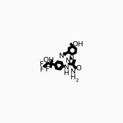 CC1(O)CCC(n2cc(C(N)=O)c(Nc3ccc(C(C)(C)C(O)C(F)(F)F)cc3)n2)C(C#N)C1